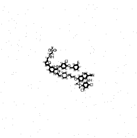 COc1cc(Nc2c(C#N)cnc3cc(OCCCN4CCN(Cc5nc(Nc6ccc(OCc7cccc(F)c7)c(Cl)c6)c6cc(-c7ccc(CNCCS(C)(=O)=O)o7)ccc6n5)CC4)c(OC)cc23)c(Cl)cc1Cl